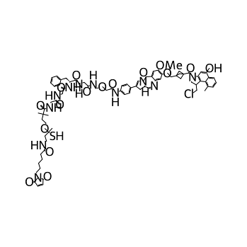 COc1cc2c(cc1OCC13CC(C(=O)N4CC(CCl)c5c4cc(O)c4cccc(C)c54)(C1)C3)N=C[C@@H]1CC(c3ccc(NC(=O)COCNC(=O)CNC(=O)[C@H](Cc4ccccc4)NC(=O)CNC(=O)CNC(=O)C(C)(C)CCOC(C)(S)CCNC(=O)CCCCCN4C(=O)C=CC4=O)cc3)=CN1C2=O